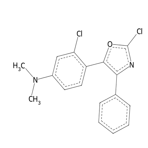 CN(C)c1ccc(-c2oc(Cl)nc2-c2ccccc2)c(Cl)c1